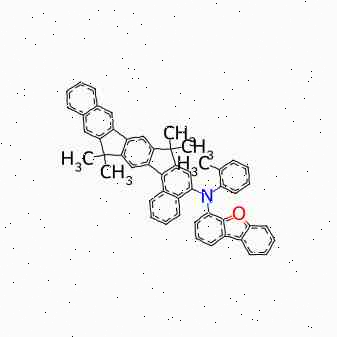 Cc1ccccc1N(c1cc2c(c3ccccc13)-c1cc3c(cc1C2(C)C)-c1cc2ccccc2cc1C3(C)C)c1cccc2c1oc1ccccc12